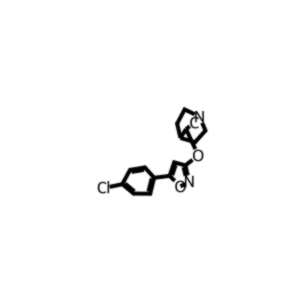 Clc1ccc(-c2cc(OC3CN4CCC3CC4)no2)cc1